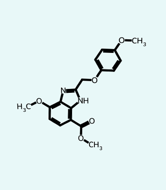 COC(=O)c1ccc(OC)c2nc(COc3ccc(OC)cc3)[nH]c12